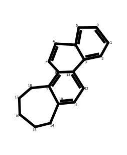 c1ccc2c(c1)ccc1c3c(ccc12)CCCCC3